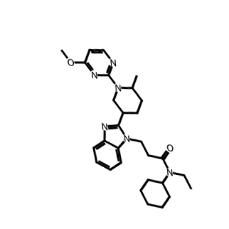 CCN(C(=O)CCn1c(C2CCC(C)N(c3nccc(OC)n3)C2)nc2ccccc21)C1CCCCC1